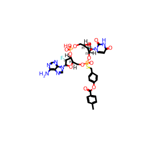 Cc1ccc(C(=O)Oc2ccc(CSP3(=O)OC[C@H]4O[C@@H](n5cnc6c(N)ncnc65)[C@H](F)[C@@H]4OP(=O)(O)OC[C@H]4O[C@@H](n5ccc(=O)[nH]c5=O)[C@H](O3)[C@@H]4F)cc2)cc1